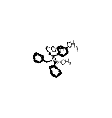 Cc1ccc([C@H](CC(=O)O)N(Cc2ccccc2)[C@H](C)c2ccccc2)cc1